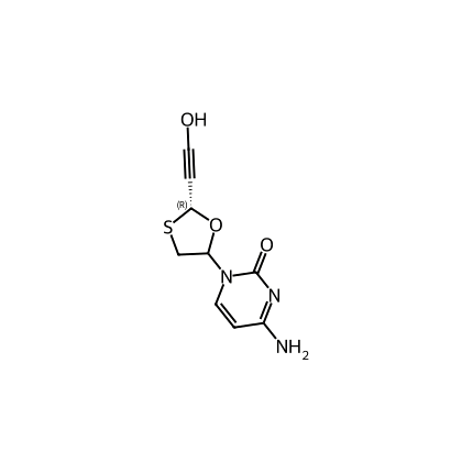 Nc1ccn(C2CS[C@H](C#CO)O2)c(=O)n1